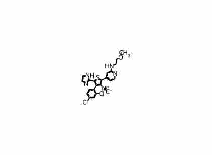 [C-]#[N+]c1c(-c2ccnc(NCCOC)c2)sc(-c2ncc[nH]2)c1-c1ccc(Cl)cc1Cl